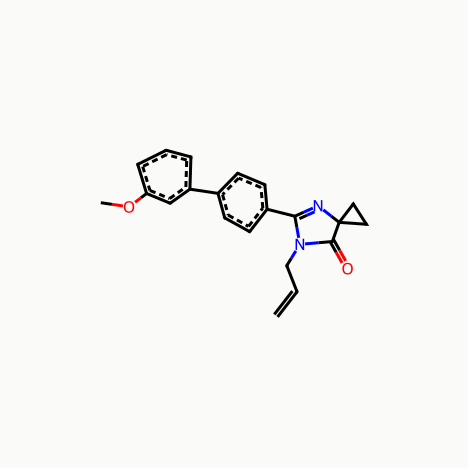 C=CCN1C(=O)C2(CC2)N=C1c1ccc(-c2cccc(OC)c2)cc1